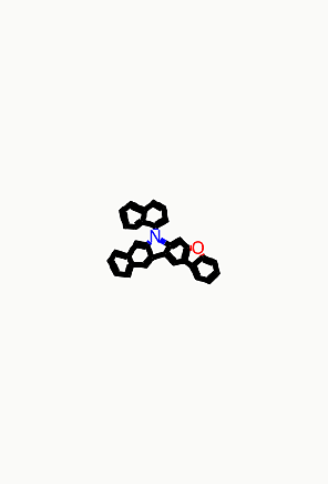 c1ccc2cc3c(cc2c1)c1cc2c(cc1n3-c1cccc3ccccc13)oc1ccccc12